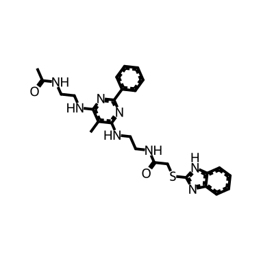 CC(=O)NCCNc1nc(-c2ccccc2)nc(NCCNC(=O)CSc2nc3ccccc3[nH]2)c1C